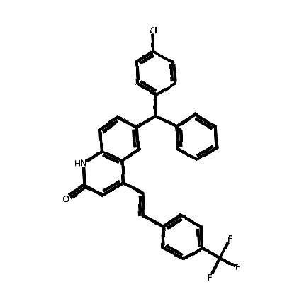 O=c1cc(/C=C/c2ccc(C(F)(F)F)cc2)c2cc(C(c3ccccc3)c3ccc(Cl)cc3)ccc2[nH]1